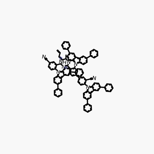 C=C/C=C\C(C)N(C)/C(=N\C(=N)c1cc(C#N)ccc1-n1c2ccc(-c3ccccc3)cc2c2cc(-c3ccccc3)ccc21)c1ccc(-c2ccc(-n3c4ccc(-c5ccccc5)cc4c4cc(-c5ccccc5)ccc43)c(C#N)c2)cc1-n1c2ccc(-c3ccccc3)cc2c2cc(-c3ccccc3)ccc21